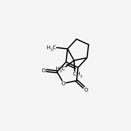 CC12CCC(C3=C1C(=O)OC3=O)C2(C)C